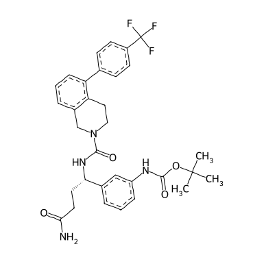 CC(C)(C)OC(=O)Nc1cccc([C@H](CCC(N)=O)NC(=O)N2CCc3c(cccc3-c3ccc(C(F)(F)F)cc3)C2)c1